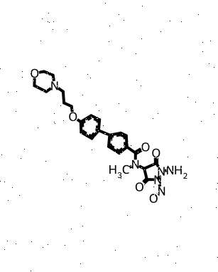 CN(C(=O)c1ccc(-c2ccc(OCCCN3CCOCC3)cc2)cc1)C1C(=O)N(N)N(N=O)C1=O